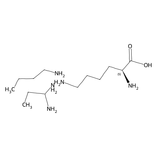 CCC(N)N.CCCCN.NCCCC[C@H](N)C(=O)O